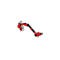 COc1cc2ncnc(Nc3ccc(F)c(Cl)c3)c2cc1NC(=O)/C=C/CN1CCC(N2CCN(CCOCCOCCOCCOCCNc3cccc4c3CN(C3CCC(=O)NC3=O)C4=O)CC2)CC1